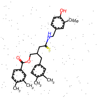 COc1cc(CNC(=S)CC(COC(=O)c2ccc(C)c(C)c2)Cc2ccc(C)c(C)c2)ccc1O